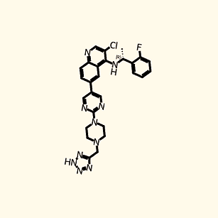 C[C@@H](Nc1c(Cl)cnc2ccc(-c3cnc(N4CCN(Cc5nn[nH]n5)CC4)nc3)cc12)c1ccccc1F